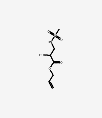 C=CCOC(=O)C(O)CNS(C)(=O)=O